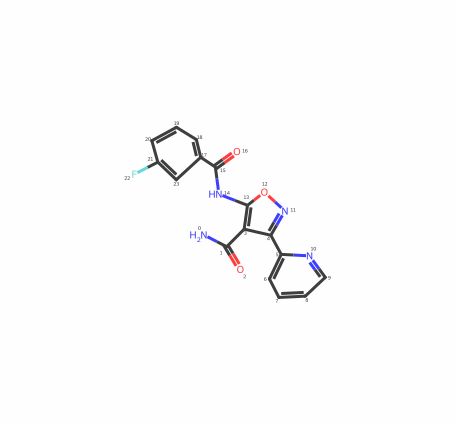 NC(=O)c1c(-c2ccccn2)noc1NC(=O)c1cccc(F)c1